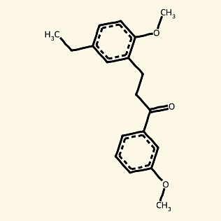 CCc1ccc(OC)c(CCC(=O)c2cccc(OC)c2)c1